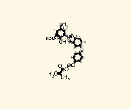 C=C(C)C(=O)OOOc1ccc(Oc2ccc3nn(-c4cc(C)cc(CCCC)c4O)nc3c2)cc1